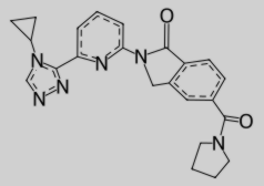 O=C(c1ccc2c(c1)CN(c1cccc(-c3nncn3C3CC3)n1)C2=O)N1CCCC1